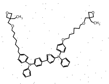 CCC1(COCCCCCCCc2ccc(N(c3ccccc3)c3ccc(-c4ccc(N(c5ccccc5)c5ccc(OCCCCCCOCC6(CC)COC6)cc5)cc4)cc3)cc2)COC1